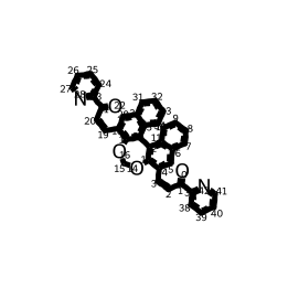 O=C(/C=C\c1cc2ccccc2c2c1OCOc1c(/C=C\C(=O)c3ccccn3)cc3ccccc3c1-2)c1ccccn1